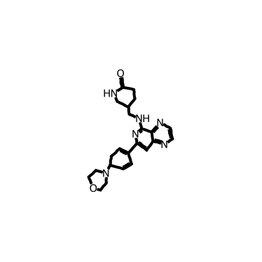 O=C1CCC(CNc2nc(C3=CCC(N4CCOCC4)C=C3)cc3nccnc23)CN1